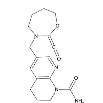 NC(=O)N1CCCc2cc(CN3CCCCOC3=C=O)cnc21